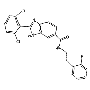 O=C(NCCc1ccccc1F)c1ccc2nc(-c3c(Cl)cccc3Cl)[nH]c2c1